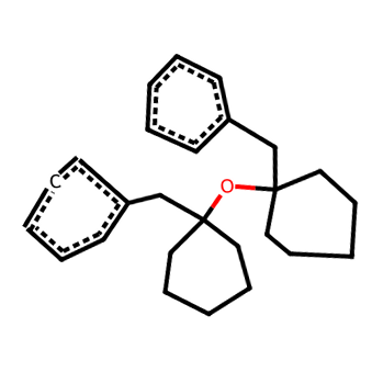 c1ccc(CC2(OC3(Cc4ccccc4)CCCCC3)CCCCC2)cc1